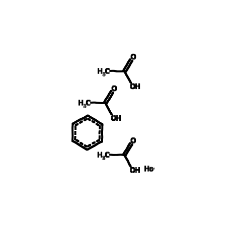 CC(=O)O.CC(=O)O.CC(=O)O.[Ho].c1ccccc1